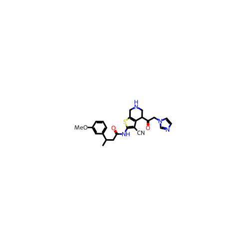 COc1cccc(C(C)CC(=O)Nc2sc3c(c2C#N)C(C(=O)Cn2ccnc2)CNC3)c1